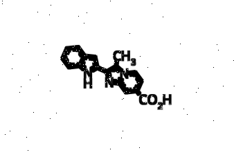 Cc1c(-c2cc3ccccc3[nH]2)nc2cc(C(=O)O)ccn12